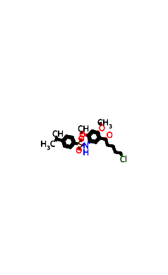 COc1cc(OC)c(C(=O)CCCCCl)cc1NS(=O)(=O)c1ccc(C(C)C)cc1